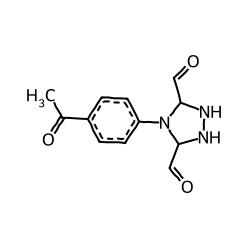 CC(=O)c1ccc(N2C(C=O)NNC2C=O)cc1